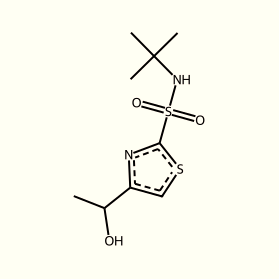 CC(O)c1csc(S(=O)(=O)NC(C)(C)C)n1